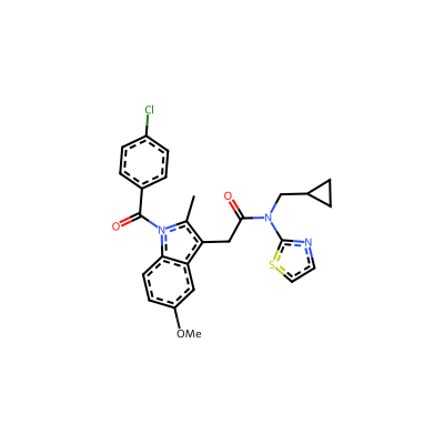 COc1ccc2c(c1)c(CC(=O)N(CC1CC1)c1nccs1)c(C)n2C(=O)c1ccc(Cl)cc1